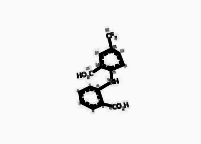 O=C(O)c1ccccc1Nc1ccc(C(F)(F)F)cc1C(=O)O